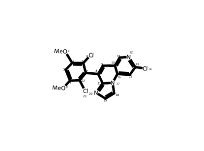 COc1cc(OC)c(Cl)c(-c2cc3cnc(Cl)cc3n3ccnc23)c1Cl